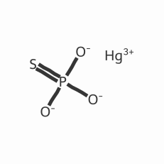 [Hg+3].[O-]P([O-])([O-])=S